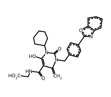 C=C1C(C(=O)NCC(=O)O)=C(O)N(C2CCCCC2)C(=O)N1Cc1ccc(-c2nc3ccccc3o2)cc1